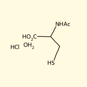 CC(=O)NC(CS)C(=O)O.Cl.O